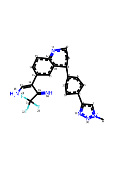 Cn1cc(-c2ccc(-c3ccnc4ccc(/C(=C/N)C(=N)C(F)(F)F)cc34)cc2)nn1